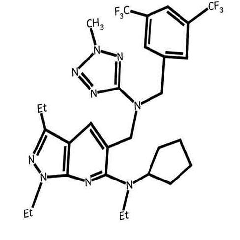 CCc1nn(CC)c2nc(N(CC)C3CCCC3)c(CN(Cc3cc(C(F)(F)F)cc(C(F)(F)F)c3)c3nnn(C)n3)cc12